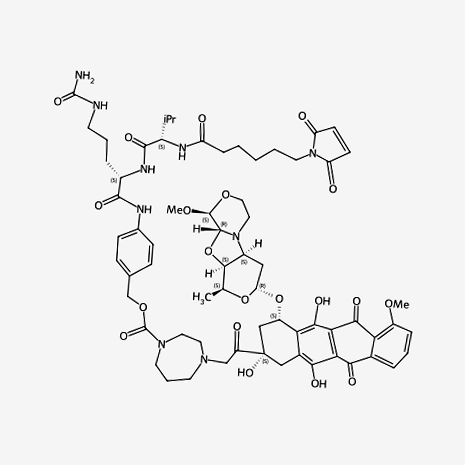 COc1cccc2c1C(=O)c1c(O)c3c(c(O)c1C2=O)C[C@@](O)(C(=O)CN1CCCN(C(=O)OCc2ccc(NC(=O)[C@H](CCCNC(N)=O)NC(=O)[C@@H](NC(=O)CCCCCN4C(=O)C=CC4=O)C(C)C)cc2)CC1)C[C@@H]3O[C@H]1C[C@H]2[C@H](O[C@@H]3[C@@H](OC)OCCN32)[C@H](C)O1